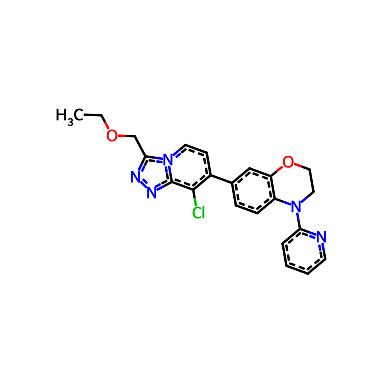 CCOCc1nnc2c(Cl)c(-c3ccc4c(c3)OCCN4c3ccccn3)ccn12